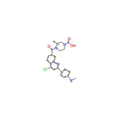 C[C@H]1CN(C(=O)O)CCN1C(=O)c1ccc2c(Cl)cc(-c3ccc(N(C)C)cc3)nc2c1